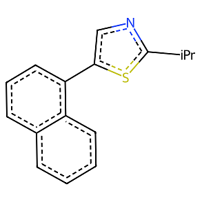 CC(C)c1ncc(-c2cccc3ccccc23)s1